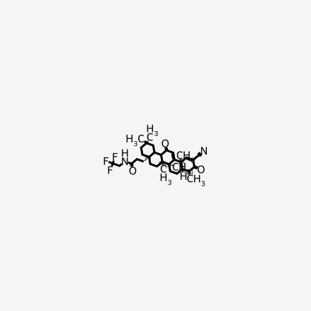 C[C@@H]1C(=O)C(C#N)=C[C@]2(C)C3=CC(=O)C4C5CC(C)(C)CC[C@]5(CCC(=O)NCC(F)(F)F)CC[C@@]4(C)[C@]3(C)CC[C@@H]12